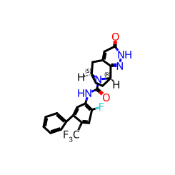 O=C(Nc1cc(-c2ccccc2)c(C(F)(F)F)cc1F)N1[C@H]2CC[C@@H]1c1n[nH]c(=O)cc1C2